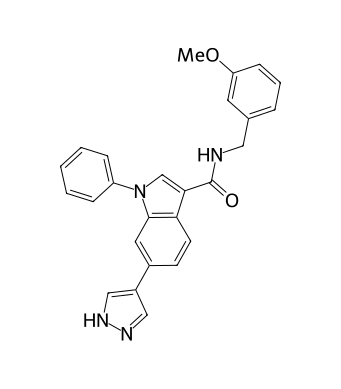 COc1cccc(CNC(=O)c2cn(-c3ccccc3)c3cc(-c4cn[nH]c4)ccc23)c1